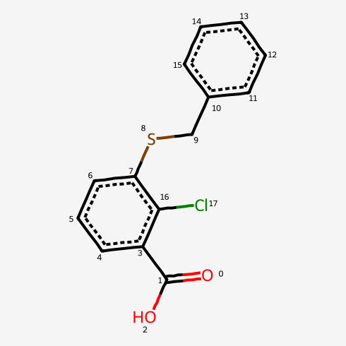 O=C(O)c1cccc(SCc2ccccc2)c1Cl